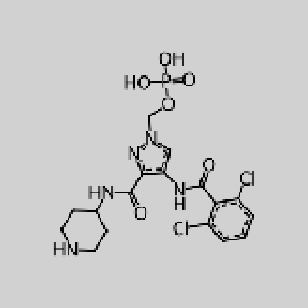 O=C(NC1CCNCC1)c1nn(COP(=O)(O)O)cc1NC(=O)c1c(Cl)cccc1Cl